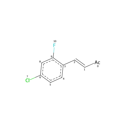 CC(=O)/C=C/c1ccc(Cl)cc1F